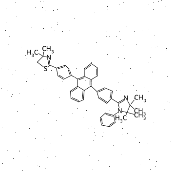 CC1(C)CSC(c2ccc(-c3c4ccccc4c(-c4ccc(C5=NC(C)(C)C(C)(C)N5c5ccccc5)cc4)c4ccccc34)cc2)=N1